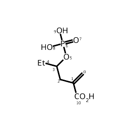 C=C(CC(CC)OP(=O)(O)O)C(=O)O